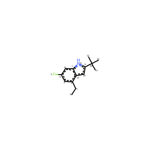 CCc1cc(F)cc2[nH]c(C(C)(C)C)cc12